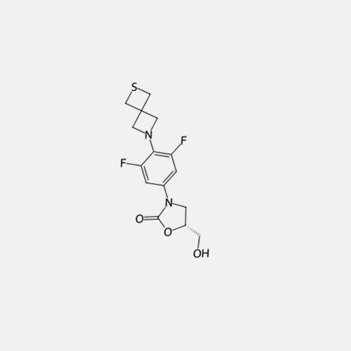 O=C1O[C@@H](CO)CN1c1cc(F)c(N2CC3(CSC3)C2)c(F)c1